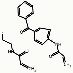 C=CC(=O)NCCF.C=CC(=O)Nc1ccc(C(=O)c2ccccc2)cc1